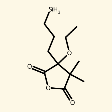 CCOC1(CCC[SiH3])C(=O)OC(=O)C1(C)C